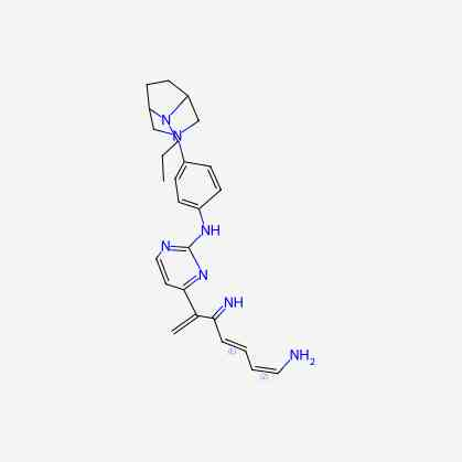 C=C(C(=N)/C=C/C=C\N)c1ccnc(Nc2ccc(N3CC4CCC(C3)N4CCC)cc2)n1